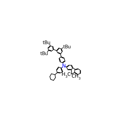 CC(C)(C)c1cc(-c2ccc(N(c3ccc(C4CCCCC4)cc3)c3ccc4c(c3)C(C)(C)c3ccccc3-4)cc2)cc(-c2cc(C(C)(C)C)cc(C(C)(C)C)c2)c1